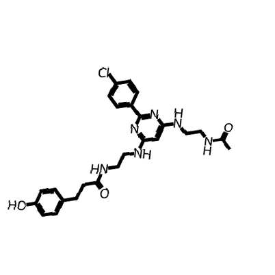 CC(=O)NCCNc1cc(NCCNC(=O)CCc2ccc(O)cc2)nc(-c2ccc(Cl)cc2)n1